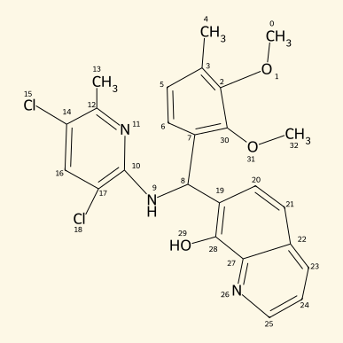 COc1c(C)ccc(C(Nc2nc(C)c(Cl)cc2Cl)c2ccc3cccnc3c2O)c1OC